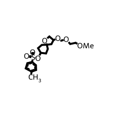 COCCOCOC1COC2(CCC(OS(=O)(=O)c3ccc(C)cc3)CC2)C1